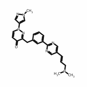 CN(C)CC=Cc1cnc(-c2cccc(Cc3nn(-c4cnn(C)c4)ccc3=O)c2)nc1